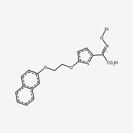 CCO/N=C(/C(=O)OCC)c1ccc(OCCOc2ccc3ccccc3c2)s1